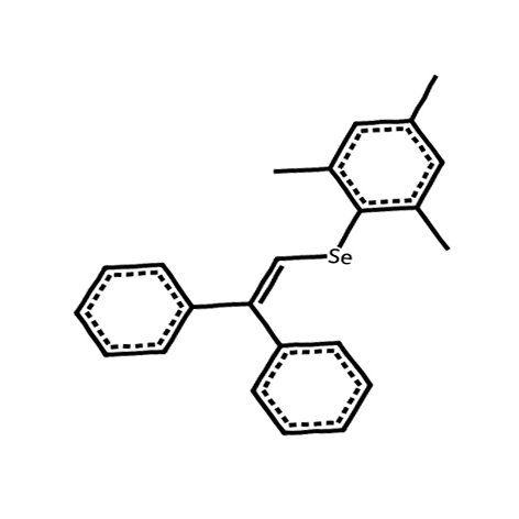 Cc1cc(C)c([Se]C=C(c2ccccc2)c2ccccc2)c(C)c1